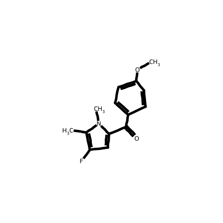 COc1ccc(C(=O)c2cc(F)c(C)n2C)cc1